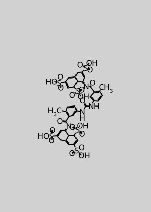 Cc1ccc(NC(=O)Nc2ccc(C)c(C(=O)N=C3C=C(S(=O)(=O)O)CC4=CC(S(=O)(=O)O)=CC(S(=O)(=O)O)C43)c2)cc1C(=O)N=C1C=C(S(=O)(=O)O)CC2=CC(S(=O)(=O)O)=CC(S(=O)(=O)O)C21